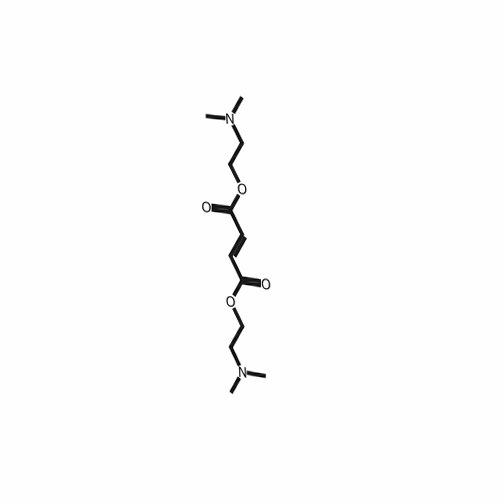 CN(C)CCOC(=O)C=CC(=O)OCCN(C)C